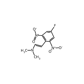 CN(C)/C=C/c1c([N+](=O)[O-])cc(F)cc1[N+](=O)[O-]